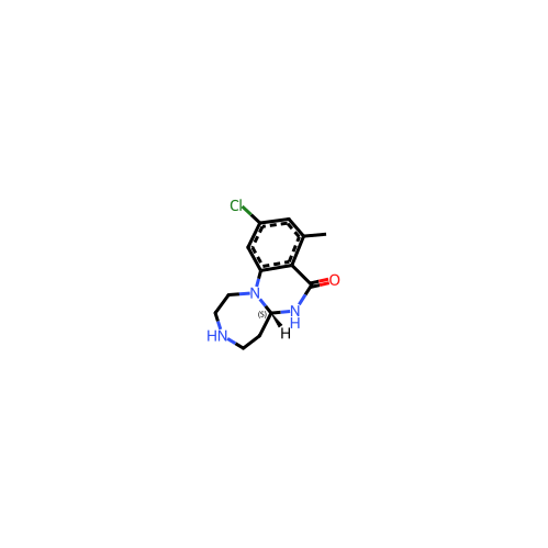 Cc1cc(Cl)cc2c1C(=O)N[C@@H]1CCNCCN21